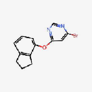 Brc1cc(Oc2cccc3c2CCC3)ncn1